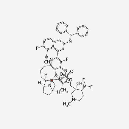 C#Cc1c(F)ccc2cc(N=C(c3ccccc3)c3ccccc3)cc(-c3nc4c5c(nc(OC[C@]6(C)CN(C)CC[C@@H]6C(F)F)nc5c3F)N3C[C@H]5CC[C@@H]([C@H]3CCC4)N5Cc3oc(=O)oc3C)c12